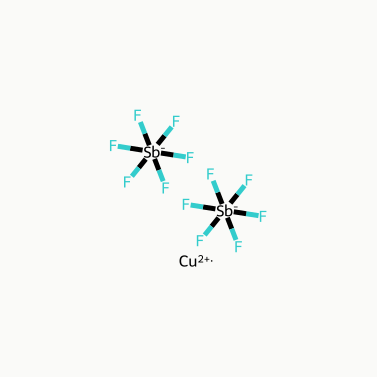 [Cu+2].[F][Sb-]([F])([F])([F])([F])[F].[F][Sb-]([F])([F])([F])([F])[F]